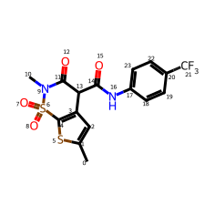 Cc1cc2c(s1)S(=O)(=O)N(C)C(=O)C2C(=O)Nc1ccc(C(F)(F)F)cc1